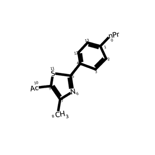 CCCc1ccc(-c2nc(C)c(C(C)=O)s2)cc1